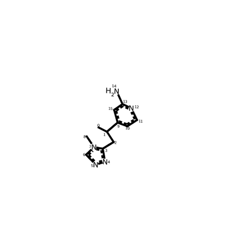 CC(Cc1nncn1C)c1ccnc(N)c1